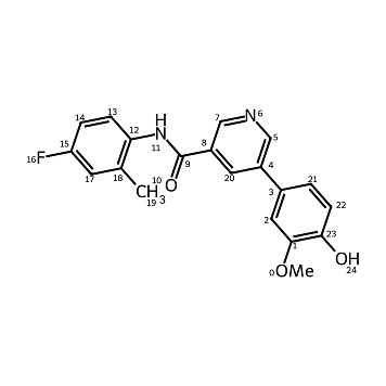 COc1cc(-c2cncc(C(=O)Nc3ccc(F)cc3C)c2)ccc1O